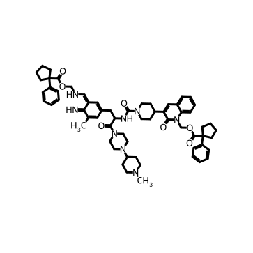 CC1=CC(CC(NC(=O)N2CCC(c3cc4ccccc4n(COC(=O)C4(c5ccccc5)CCCC4)c3=O)CC2)C(=O)N2CCN(C3CCN(C)CC3)CC2)=C/C(=C/NCOC(=O)C2(c3ccccc3)CCCC2)C1=N